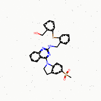 CS(=O)(=O)c1ccc2c(c1)CCN2c1nc(NCc2ccccc2Sc2ccccc2CO)nc2ccccc12